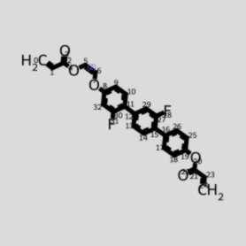 C=CC(=O)O/C=C\Oc1ccc(-c2ccc(-c3ccc(OC(=O)C=C)cc3)c(F)c2)c(F)c1